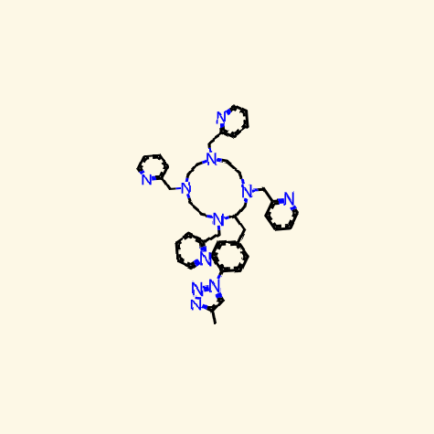 Cc1cn(-c2ccc(CC3CN(Cc4ccccn4)CCN(Cc4ccccn4)CCN(Cc4ccccn4)CCN3Cc3ccccn3)cc2)nn1